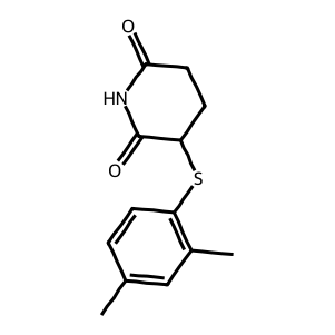 Cc1ccc(SC2CCC(=O)NC2=O)c(C)c1